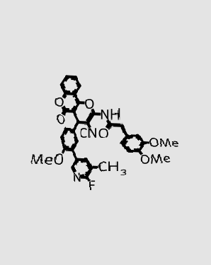 COc1ccc(CC(=O)NC2=C(C#N)C(c3ccc(OC)c(-c4cnc(F)c(C)c4)c3)c3c(c4ccccc4oc3=O)O2)cc1OC